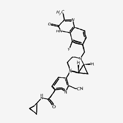 Cc1nc2ccc(CN3CCN(c4ccc(C(=O)NC5CC5)nc4C#N)[C@H]4C[C@H]43)c(F)c2[nH]c1=O